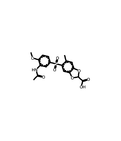 COc1ccc(S(=O)(=O)c2cc3c(cc2C)OC(C(=O)O)O3)cc1NC(C)=O